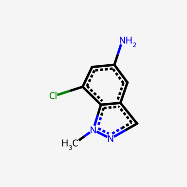 Cn1ncc2cc(N)cc(Cl)c21